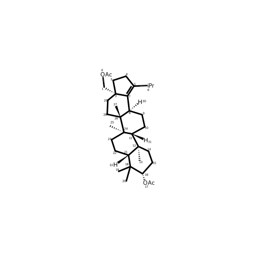 CC(=O)OC[C@]12CCC(C(C)C)=C1[C@H]1CC[C@@H]3[C@@]4(C)CC[C@H](OC(C)=O)C(C)(C)[C@@H]4CC[C@@]3(C)[C@]1(C)CC2